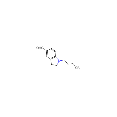 O=Cc1ccc2c(c1)CCN2CCCC(F)(F)F